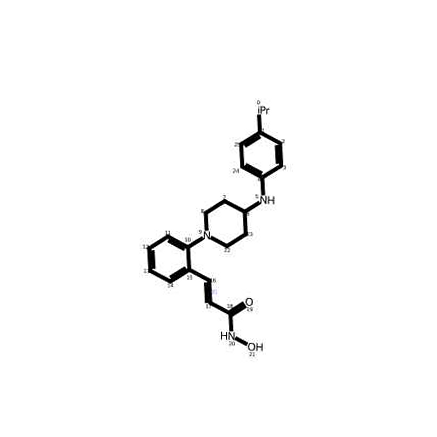 CC(C)c1ccc(NC2CCN(c3ccccc3/C=C/C(=O)NO)CC2)cc1